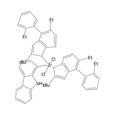 CCc1ccccc1-c1c(CC)ccc2c1C=C(C(C)(C)C)[CH]2[Zr]([Cl])([Cl])([c]1cccc2c1[SiH2]c1ccccc1-2)[CH]1C(C(C)(C)C)=Cc2c1ccc(CC)c2-c1ccccc1CC